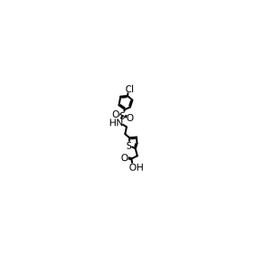 O=C(O)Cc1ccc(CCNS(=O)(=O)c2ccc(Cl)cc2)s1